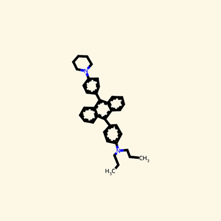 CCCN(CCC)c1ccc(-c2c3ccccc3c(-c3ccc(N4CCCCC4)cc3)c3ccccc23)cc1